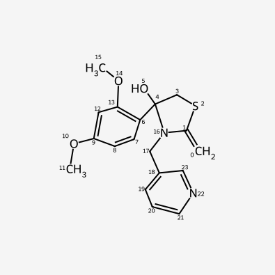 C=C1SCC(O)(c2ccc(OC)cc2OC)N1Cc1cccnc1